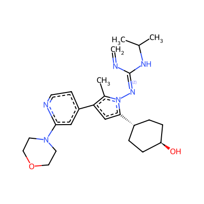 C=N/C(=N\n1c(C)c(-c2ccnc(N3CCOCC3)c2)cc1[C@H]1CC[C@H](O)CC1)NC(C)C